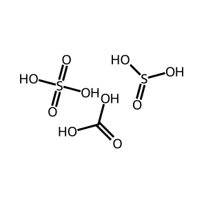 O=C(O)O.O=S(=O)(O)O.O=S(O)O